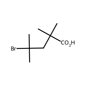 CC(C)(Br)CC(C)(C)C(=O)O